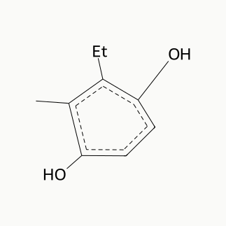 CCc1c(O)ccc(O)c1C